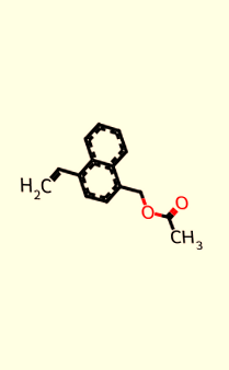 C=Cc1ccc(COC(C)=O)c2ccccc12